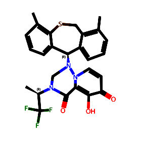 Cc1cccc2c1CSc1c(C)cccc1[C@@H]2N1CN([C@H](C)C(F)(F)F)C(=O)c2c(O)c(=O)ccn21